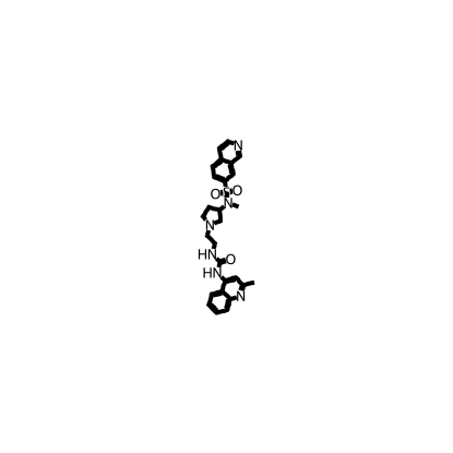 Cc1cc(NC(=O)NCCN2CCC(N(C)S(=O)(=O)c3ccc4ccncc4c3)C2)c2ccccc2n1